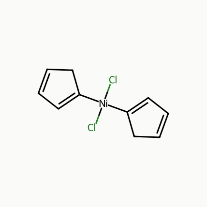 [Cl][Ni]([Cl])([C]1=CC=CC1)[C]1=CC=CC1